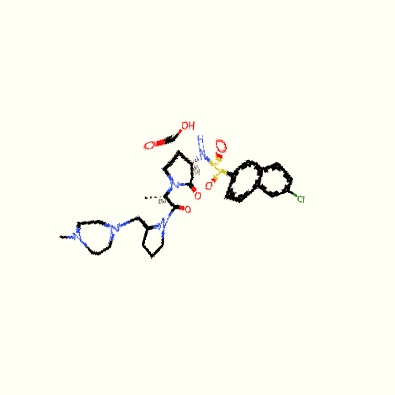 C[C@@H](C(=O)N1CCCC1CN1CCN(C)CC1)N1CC[C@H](NS(=O)(=O)c2ccc3cc(Cl)ccc3c2)C1=O.O=CO